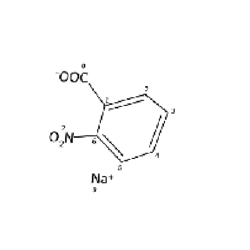 O=C([O-])c1ccccc1[N+](=O)[O-].[Na+]